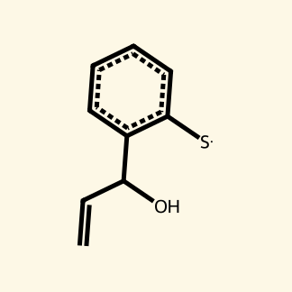 C=CC(O)c1ccccc1[S]